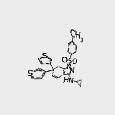 Cc1ccc(S(=O)(=O)n2nc(NC3CC3)c3c2CC(c2ccsc2)(c2ccsc2)C=C3)cc1